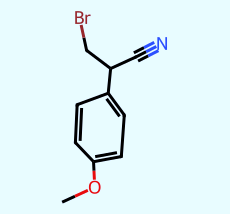 COc1ccc(C(C#N)CBr)cc1